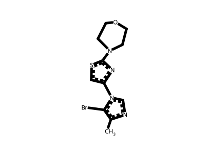 Cc1ncn(-c2csc(N3CCOCC3)n2)c1Br